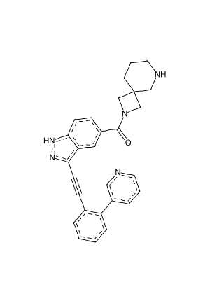 O=C(c1ccc2[nH]nc(C#Cc3ccccc3-c3cccnc3)c2c1)N1CC2(CCCNC2)C1